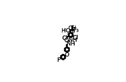 C[C@@](O)(c1cc(Cl)c(NC(=O)NCc2ccc(Oc3ccc(F)cc3)cc2)c(Cl)c1)C(F)(F)F